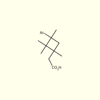 CC(=O)C1(C)CC(C)(CC(=O)O)C1(C)C